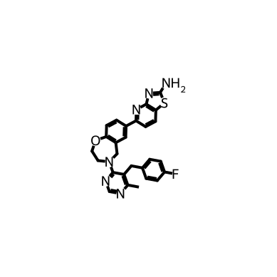 Cc1ncnc(N2CCOc3ccc(-c4ccc5sc(N)nc5n4)cc3C2)c1Cc1ccc(F)cc1